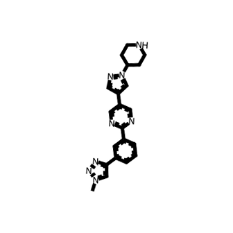 Cn1cc(-c2cccc(-c3ncc(-c4cnn(C5CCNCC5)c4)cn3)c2)nn1